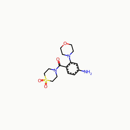 Nc1ccc(C(=O)N2CCS(=O)(=O)CC2)c(N2CCOCC2)c1